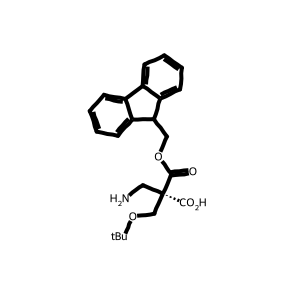 CC(C)(C)OC[C@](CN)(C(=O)O)C(=O)OCC1c2ccccc2-c2ccccc21